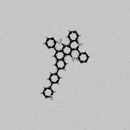 Cc1c2c(-c3ccccc3)nc3ccccc3c2c(C)c2c(-c3ccccc3)cc3cc(-c4ccc(-c5cccnc5)cc4)ccc3c12